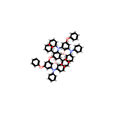 c1ccc(Oc2cc3c4c(c2)N(c2ccccc2)c2ccccc2B4c2c(c(-c4ccccc4)c4c(c2-c2ccccc2)B2c5ccccc5N(c5ccccc5)c5cc(Oc6ccccc6)cc(c52)N4c2ccccc2)O3)cc1